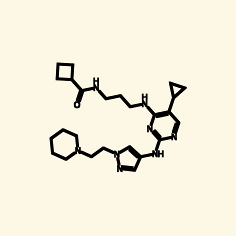 O=C(NCCCNc1nc(Nc2cnn(CCN3CCCCC3)c2)ncc1C1CC1)C1CCC1